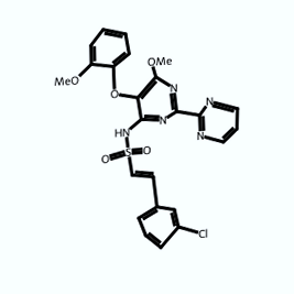 COc1ccccc1Oc1c(NS(=O)(=O)C=Cc2cccc(Cl)c2)nc(-c2ncccn2)nc1OC